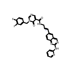 O=C(NC/C=C/c1ccc2nc(Nc3ccccn3)ncc2c1)c1cncn(Cc2ccc(F)c(F)c2)c1=O